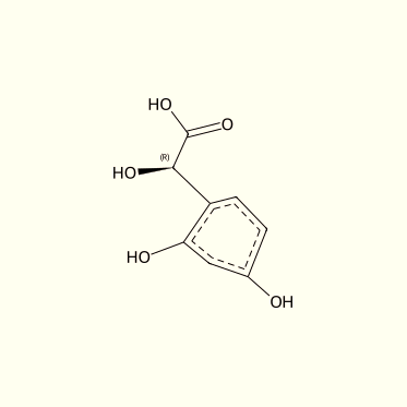 O=C(O)[C@H](O)c1ccc(O)cc1O